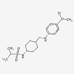 CC(C)S(=O)(=O)NC1CCC(CNc2ccc([S+](C)[O-])cc2)CC1